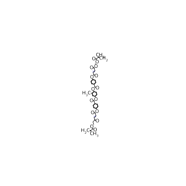 C=C(C)C(=O)OCCC(=O)/C=C/C(=O)Oc1ccc(C(=O)Oc2ccc(OC(=O)c3ccc(OC(=O)/C=C/C(=O)OCOC(=O)C(=C)C)cc3)c(C)c2)cc1